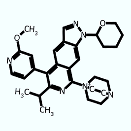 COc1cc(-c2c(C(C)C)nc([N+]34CCN(CC3)CC4)c3cc4c(cnn4C4CCCCO4)cc23)ccn1